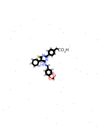 O=C(O)Cc1ccc(-c2nc(NCc3ccc4c(c3)OCO4)c3c4c(sc3n2)CCCC4)cc1